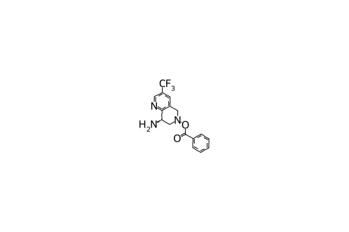 N[C@@H]1CN(OC(=O)c2ccccc2)Cc2cc(C(F)(F)F)cnc21